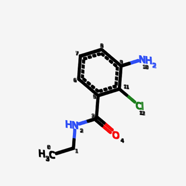 CCNC(=O)c1cccc(N)c1Cl